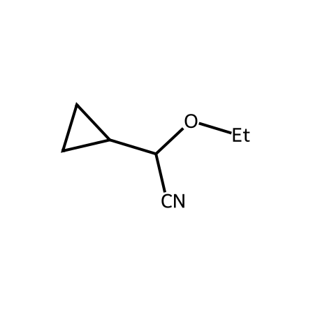 CCOC(C#N)C1CC1